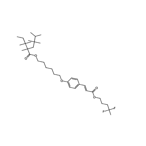 CCC(C)(C)C(C)(CC(C)(C)C(C)C)C(=O)OCCCCCCOc1ccc(/C=C/C(=O)OCCCC(C)(F)F)cc1